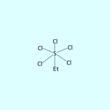 CCS(Cl)(Cl)(Cl)(Cl)Cl